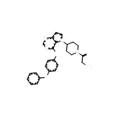 N#CCC(=O)N1CCC(n2ccc3ncnc(Oc4ccc(Oc5ccccc5)cc4)c32)CC1